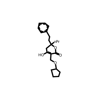 CCCC1(CCc2ccccc2)CC(O)=C(COC2CCCC2)C(=O)O1